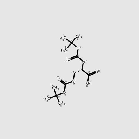 CC(C)(C)OC(=O)N[C@@H](CSC(=O)OC(C)(C)C)C(=O)O